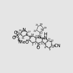 COc1cc2c(=O)c3c4ccc(C#N)cc4[nH]c3n(C3CCCCC3)c2cc1-c1cncc(S(=O)(=O)F)c1